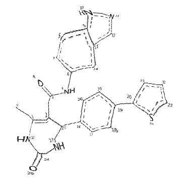 CC1=C(C(=O)Nc2ccc3[nH]ncc3c2)C(c2ccc(-c3cccs3)cc2)NC(=O)N1